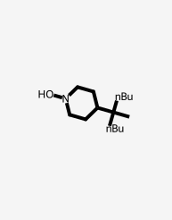 CCCCC(C)(CCCC)C1CCN(O)CC1